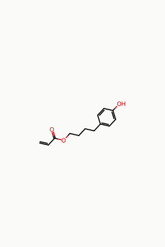 C=CC(=O)OCCCCc1ccc(O)cc1